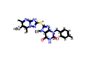 CCCCc1c(C)nc2nc(Sc3nc4c(c(=O)[nH]c(=O)n4Cc4ccc(C)cc4)n3CC)nn2c1C